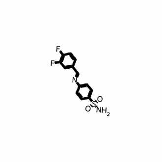 NS(=O)(=O)c1ccc(/N=C/c2ccc(F)c(F)c2)cc1